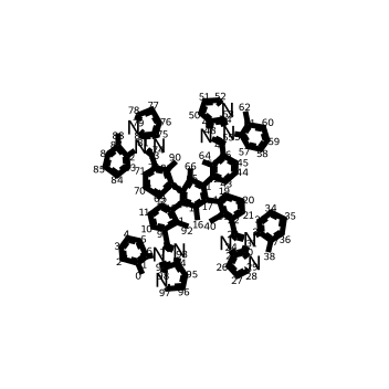 Cc1ccccc1-n1c(-c2cccc(-c3c(C)c(-c4cccc(-c5nc6cccnc6n5-c5ccccc5C)c4C)c(-c4cccc(-c5nc6cccnc6n5-c5ccccc5C)c4C)c(C)c3-c3cccc(-c4nc5cccnc5n4-c4ccccc4C)c3C)c2C)nc2cccnc21